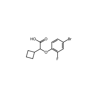 O=C(O)C(Oc1ccc(Br)cc1F)C1CCC1